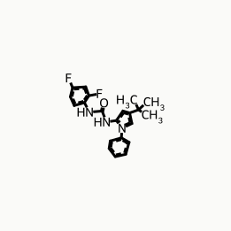 CC(C)(C)c1cc(NC(=O)Nc2ccc(F)cc2F)n(-c2ccccc2)c1